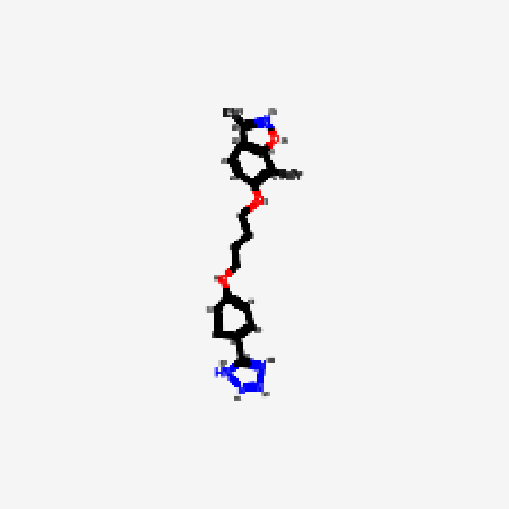 CCCc1c(OCCCCOc2ccc(-c3nnn[nH]3)cc2)ccc2c(CC)noc12